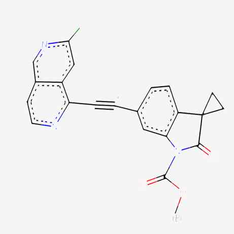 CC(C)(C)OC(=O)N1C(=O)C2(CC2)c2ccc(C#Cc3nccc4cnc(Cl)cc34)cc21